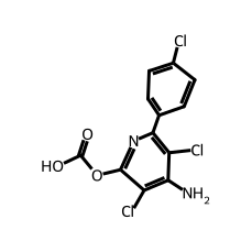 Nc1c(Cl)c(OC(=O)O)nc(-c2ccc(Cl)cc2)c1Cl